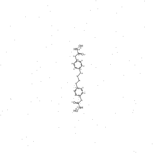 O=C(Cc1ccc(CCCCc2ccc(CC(=O)NO)cc2)cc1)NO